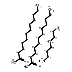 CCCCCCCCCCCC(=O)O.CCCCCCCCCCCC(=O)O.NCCCNCCS